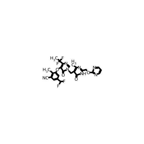 Cc1nc(COc2ncccn2)[nH]c(=O)c1Cn1cnc(C(C)(F)F)c(Oc2cc(C(F)F)cc(C#N)c2C)c1=O